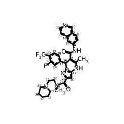 CC1=C(C(=O)Nc2ccc3cnccc3c2)C(c2ccc(C(F)(F)F)c(F)c2)n2nc(C(=O)N(C)CCN3CCCCC3)cc2N1